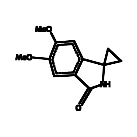 COc1cc2c(cc1OC)C1(CC1)NC2=O